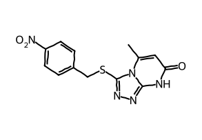 Cc1cc(=O)[nH]c2nnc(SCc3ccc([N+](=O)[O-])cc3)n12